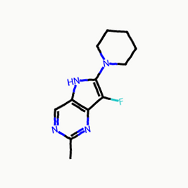 Cc1ncc2[nH]c(N3CCCCC3)c(F)c2n1